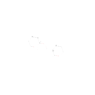 O[C@@H]1COC[C@H](COC2CCCCO2)C1